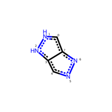 c1[nH][nH]c2cnnc1-2